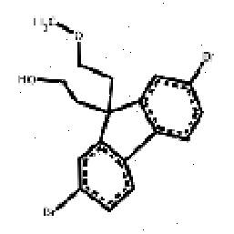 COCCC1(CCO)c2cc(Br)ccc2-c2ccc(Br)cc21